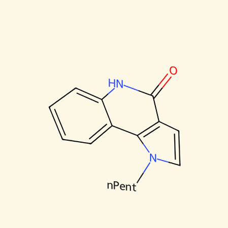 CCCCCn1ccc2c(=O)[nH]c3ccccc3c21